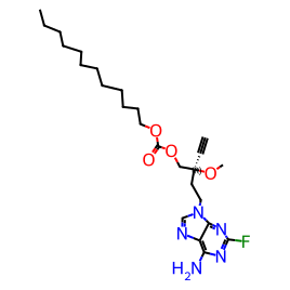 C#C[C@](CCn1cnc2c(N)nc(F)nc21)(COC(=O)OCCCCCCCCCCCC)OC